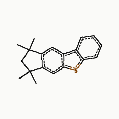 CC1(C)CC(C)(C)c2cc3c(cc21)sc1ccccc13